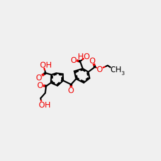 CCOC(=O)c1ccc(C(=O)c2ccc(C(=O)O)c(C(=O)CCO)c2)cc1C(=O)O